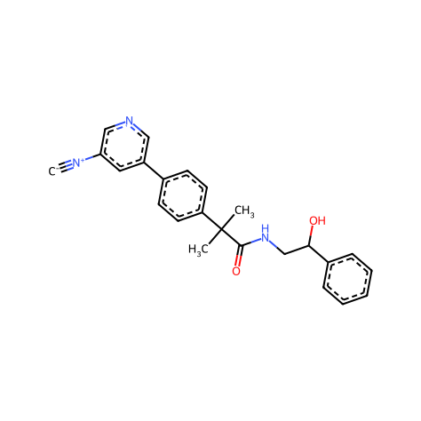 [C-]#[N+]c1cncc(-c2ccc(C(C)(C)C(=O)NCC(O)c3ccccc3)cc2)c1